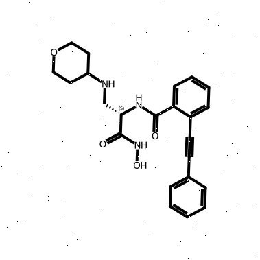 O=C(N[C@@H](CNC1CCOCC1)C(=O)NO)c1ccccc1C#Cc1ccccc1